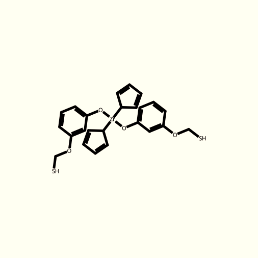 SCOc1cccc([O][Zr]([O]c2cccc(OCS)c2)([CH]2C=CC=C2)[CH]2C=CC=C2)c1